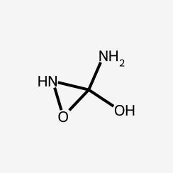 NC1(O)NO1